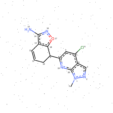 Cn1ncc2c(Cl)cc(C3CC=Cc4c(N)noc43)nc21